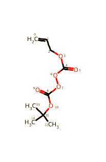 C=CCOC(=O)OOC(=O)OC(C)(C)C